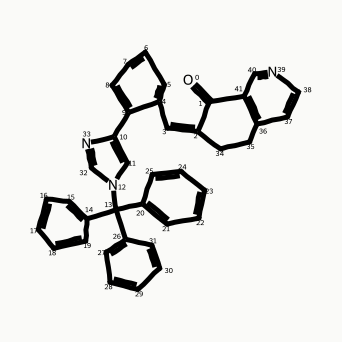 O=C1C(=Cc2ccccc2-c2cn(C(c3ccccc3)(c3ccccc3)c3ccccc3)cn2)CCc2ccncc21